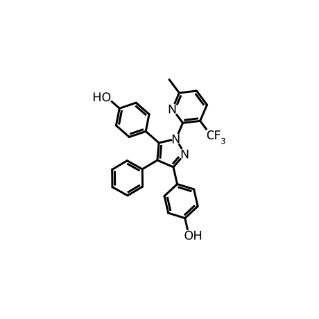 Cc1ccc(C(F)(F)F)c(-n2nc(-c3ccc(O)cc3)c(-c3ccccc3)c2-c2ccc(O)cc2)n1